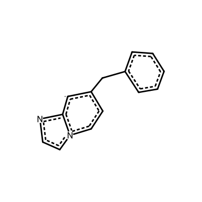 [c]1c(Cc2ccccc2)ccn2ccnc12